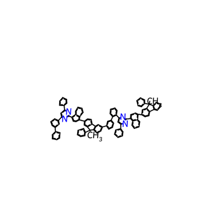 CC1(c2ccccc2)c2ccc(-c3cccc(-c4ccccc4-c4cc(-c5ccccc5)nc(-c5ccc(-c6ccc7c(c6)C(C)(c6ccccc6)c6ccccc6-7)c6ccccc56)n4)c3)cc2-c2ccc(-c3ccc(-c4nc(-c5ccccc5)cc(-c5cccc(-c6ccccc6)c5)n4)c4ccccc34)cc21